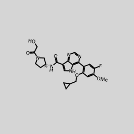 COc1cc(OCC2CC2)c(-c2ncnc3c(C(=O)N[C@@H]4CCN(C(=O)CO)C4)c[nH]c23)cc1F